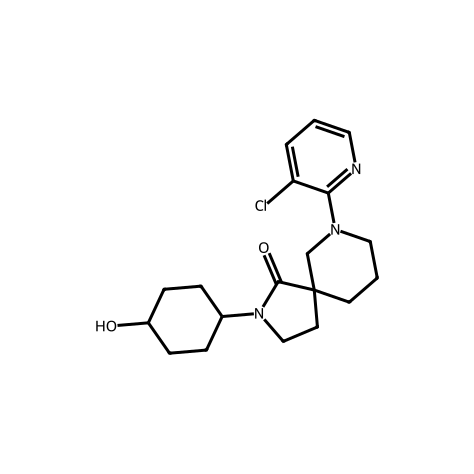 O=C1N(C2CCC(O)CC2)CCC12CCCN(c1ncccc1Cl)C2